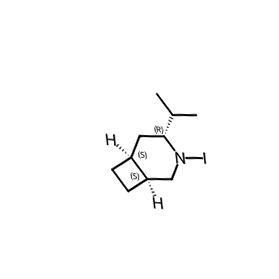 CC(C)[C@H]1C[C@@H]2CC[C@@H]2CN1I